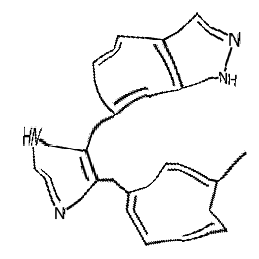 Cc1cccc(-c2nc[nH]c2-c2ccc3cn[nH]c3c2)c1